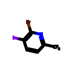 FC(F)(F)c1ccc(I)c(Br)n1